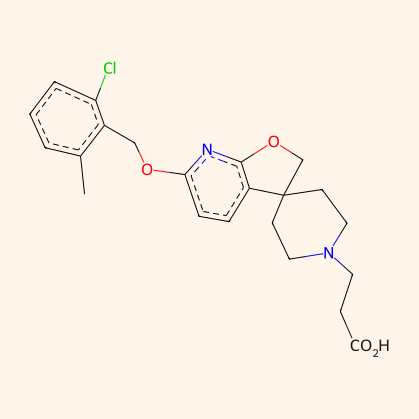 Cc1cccc(Cl)c1COc1ccc2c(n1)OCC21CCN(CCC(=O)O)CC1